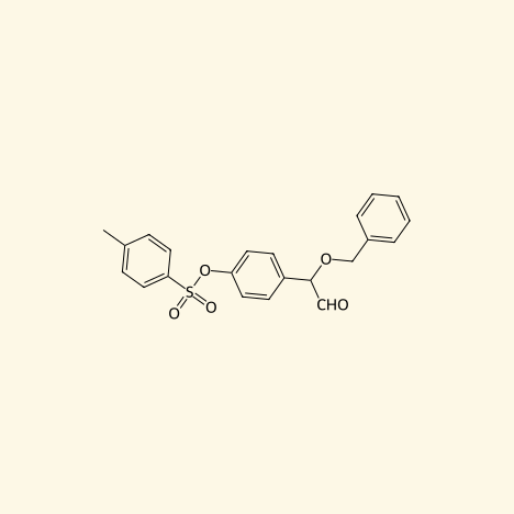 Cc1ccc(S(=O)(=O)Oc2ccc(C(C=O)OCc3ccccc3)cc2)cc1